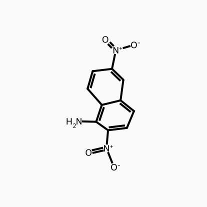 Nc1c([N+](=O)[O-])ccc2cc([N+](=O)[O-])ccc12